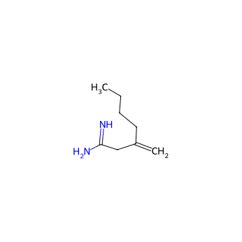 C=C(CCCC)CC(=N)N